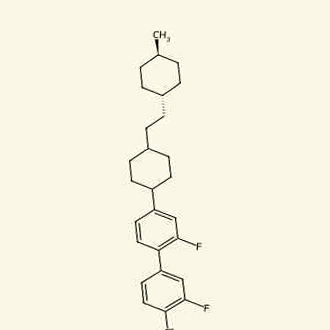 C[C@H]1CC[C@H](CCC2CCC(c3ccc(-c4ccc(Cl)c(F)c4)c(F)c3)CC2)CC1